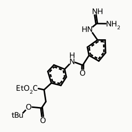 CCOC(=O)C(CC(=O)OC(C)(C)C)c1ccc(NC(=O)c2cccc(NC(=N)N)c2)cc1